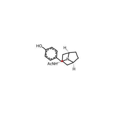 CC(=O)N[C@@H]1C[C@H]2CC[C@@H](C1)N2Cc1ccc(O)cc1